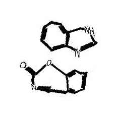 O=c1ncc2ccccc2o1.c1ccc2[nH]cnc2c1